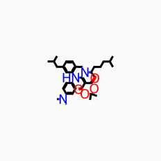 CC(C)CCCC(C)N(Cc1ccc(CC(C)C)cc1)C(Nc1ccc(N(C)C)cc1)=C1C(=O)OC(C)(C)OC1=O